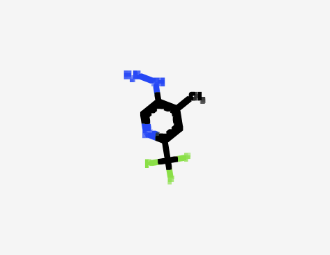 Cc1cc(C(F)(F)F)ncc1NN